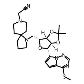 CSc1ncnn2c([C@@H]3O[C@H](CN4CCCC45CCN(CC#N)CC5)[C@H]4OC(C)(C)O[C@H]43)ccc12